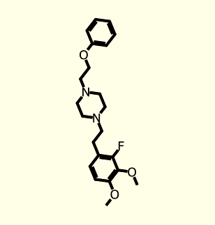 COc1ccc(CCN2CCN(CCOc3ccccc3)CC2)c(F)c1OC